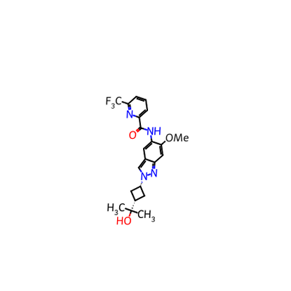 COc1cc2nn([C@H]3C[C@@H](C(C)(C)O)C3)cc2cc1NC(=O)c1cccc(C(F)(F)F)n1